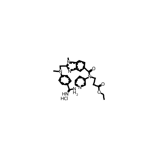 CCOC(=O)CCN(C(=O)c1ccc2c(c1)nc(CN(C)c1ccc(C(=N)N)cc1)n2C)c1cccnc1.Cl